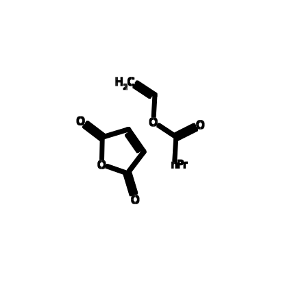 C=COC(=O)CCC.O=C1C=CC(=O)O1